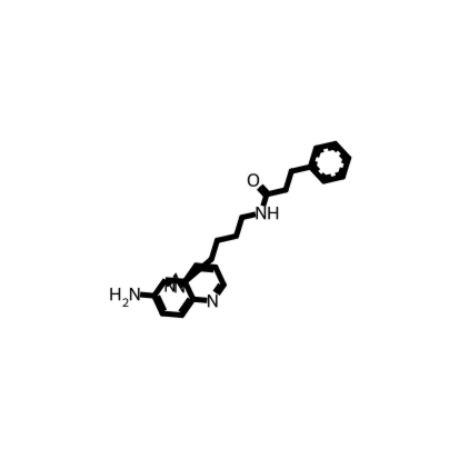 NC1=CC=C2N=CC=CC23C1=NCN3CCCCNC(=O)CCc1ccccc1